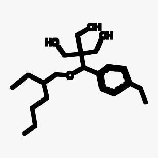 CCCCC(CC)COC(c1ccc(CC)cc1)C(CO)(CO)CO